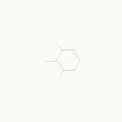 ClC1=C(Cl)C(Cl)C=CC1